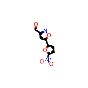 O=Cc1cc(-c2ccc([N+](=O)[O-])o2)on1